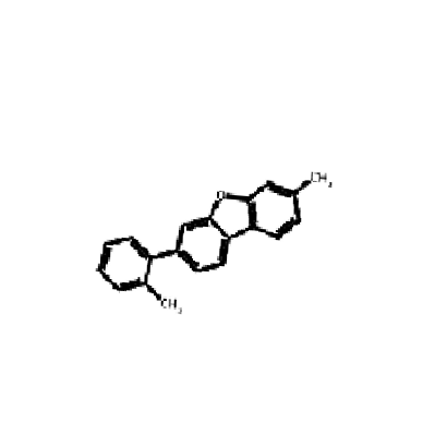 Cc1ccc2c(c1)oc1cc(-c3ccccc3C)ccc12